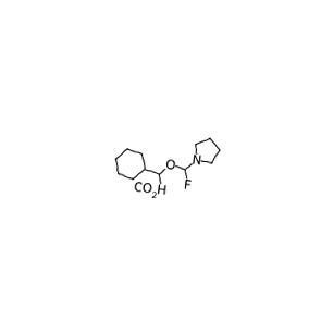 O=C(O)C(OC(F)N1CCCC1)C1CCCCC1